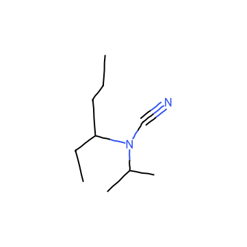 CCCC(CC)N(C#N)C(C)C